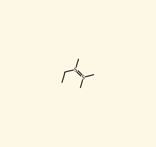 CCS(C)=S(C)C